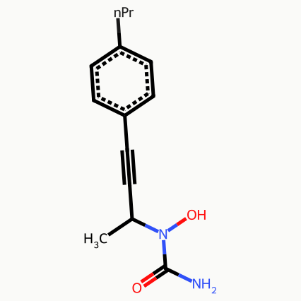 CCCc1ccc(C#CC(C)N(O)C(N)=O)cc1